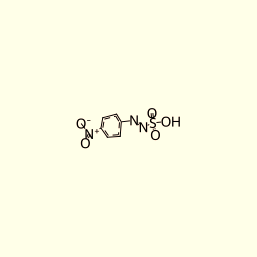 O=[N+]([O-])c1ccc(N=NS(=O)(=O)O)cc1